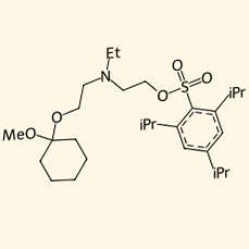 CCN(CCOC1(OC)CCCCC1)CCOS(=O)(=O)c1c(C(C)C)cc(C(C)C)cc1C(C)C